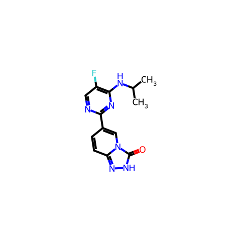 CC(C)Nc1nc(-c2ccc3n[nH]c(=O)n3c2)ncc1F